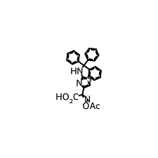 CC(=O)O/N=C(\C(=O)O)c1csc(NC(c2ccccc2)(c2ccccc2)c2ccccc2)n1